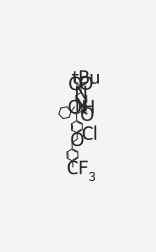 CC(C)(C)OC(=O)N1CCN(C(=O)C(c2ccc(OCc3ccc(C(F)(F)F)cc3)c(Cl)c2)C2(O)CCCCC2)CC1